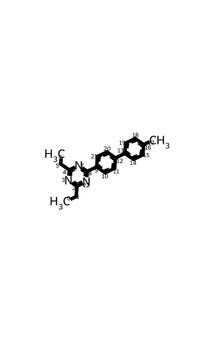 CCc1nc(CC)nc(-c2ccc(-c3ccc(C)cc3)cc2)n1